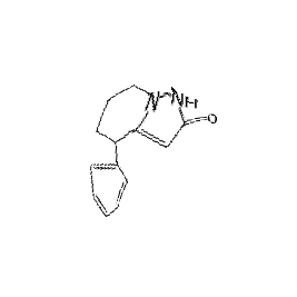 O=c1cc2n([nH]1)CCCC2c1ccccc1